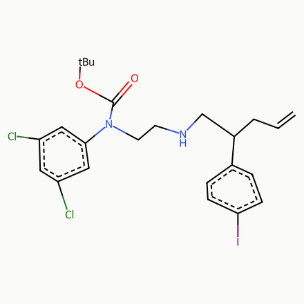 C=CCC(CNCCN(C(=O)OC(C)(C)C)c1cc(Cl)cc(Cl)c1)c1ccc(I)cc1